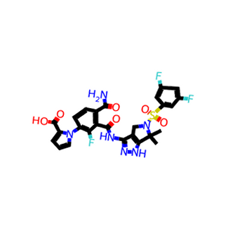 CC1(C)c2[nH]nc(NC(=O)c3c(C(N)=O)ccc(-n4cccc4C(=O)O)c3F)c2CN1S(=O)(=O)c1cc(F)cc(F)c1